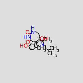 Cc1ccc(O)cc1[C@]12CCN(CCC(C)C)[C@H](C)[C@]1(O)CCCNC(=O)NC(=O)C2